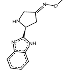 CON=C1CN[C@H](c2nc3ccccc3[nH]2)C1